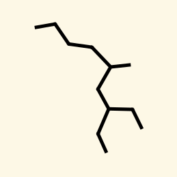 CCCCC(C)CC(CC)CC